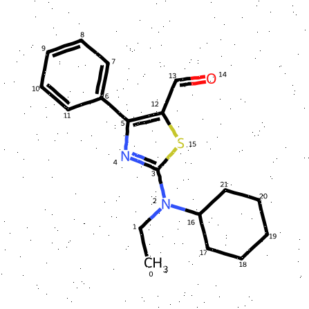 CCN(c1nc(-c2ccccc2)c(C=O)s1)C1CCCCC1